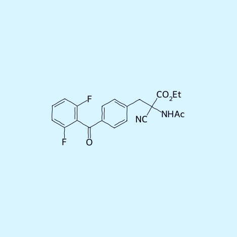 CCOC(=O)C(C#N)(Cc1ccc(C(=O)c2c(F)cccc2F)cc1)NC(C)=O